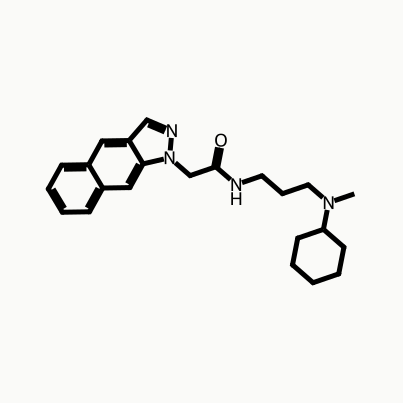 CN(CCCNC(=O)Cn1ncc2cc3ccccc3cc21)C1CCCCC1